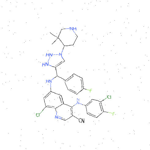 CC1(C)CNCCC1N1C=C(C(Nc2cc(Cl)c3ncc(C#N)c(Nc4ccc(F)c(Cl)c4)c3c2)c2ccc(F)cc2)NN1